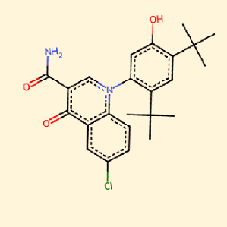 CC(C)(C)c1cc(C(C)(C)C)c(-n2cc(C(N)=O)c(=O)c3cc(Cl)ccc32)cc1O